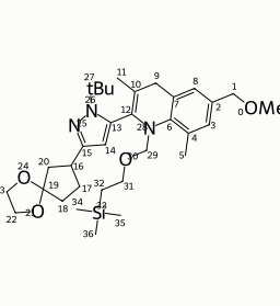 COCc1cc(C)c2c(c1)CC(C)=C(c1cc(C3CCC4(C3)OCCO4)nn1C(C)(C)C)N2COCC[Si](C)(C)C